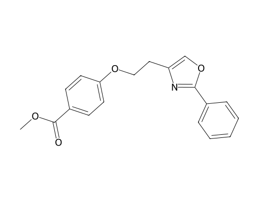 COC(=O)c1ccc(OCCc2coc(-c3ccccc3)n2)cc1